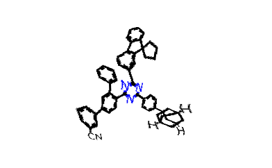 N#Cc1cccc(-c2ccc(-c3nc(-c4ccc(C56C[C@H]7C[C@@H](C5)C[C@@H](C6)C7)cc4)nc(-c4ccc5c(c4)C4(CCCC4)c4ccccc4-5)n3)c(-c3ccccc3)c2)c1